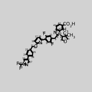 CC1(C)COCC1n1c(Cc2cc(F)c(-c3cccc(OCc4ccc(-c5cnn(C(F)F)c5)cc4)n3)cc2F)nc2ccc(C(=O)O)cc21